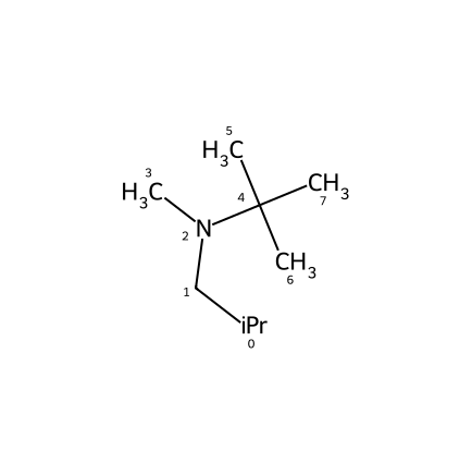 CC(C)CN(C)C(C)(C)C